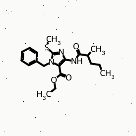 CCCC(C)C(=O)Nc1nc(SC)n(Cc2ccccc2)c1C(=O)OCC